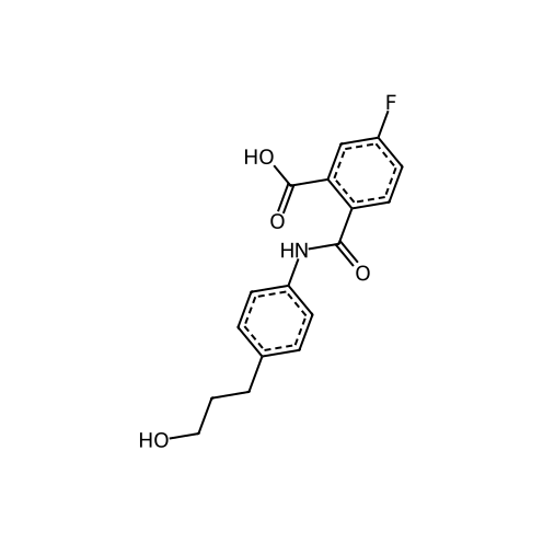 O=C(O)c1cc(F)ccc1C(=O)Nc1ccc(CCCO)cc1